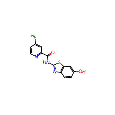 O=C(Nc1nc2ccc(O)cc2s1)c1cc([19F])ccn1